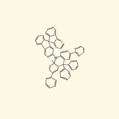 CC12C=CC(c3ccccc3)=CC1C(c1ccccc1)(c1ccccc1)c1cc(-c3ccccc3)ccc1N2c1ccc2c(c1)C1(c3ccccc3-c3ccccc31)c1ccccc1-2